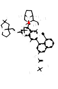 C#Cc1cccc2cc(NC(=O)OC(C)(C)C)cc(-c3nc4c5c(nc(OCC67CCCN6CC(F)(F)C7)nc5c3F)N3C[C@H]5CC[C@@H]([C@H]3[C@H](C)O4)N5C(=O)OC(C)(C)C)c12